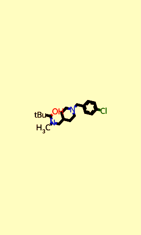 CN(CC1CCN(Cc2ccc(Cl)cc2)CC1)C(O)C(C)(C)C